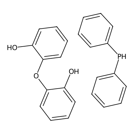 Oc1ccccc1Oc1ccccc1O.c1ccc(Pc2ccccc2)cc1